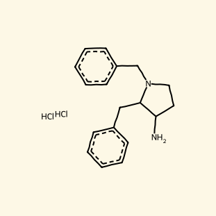 Cl.Cl.NC1CCN(Cc2ccccc2)C1Cc1ccccc1